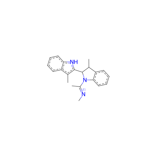 C/N=C(\C)N1c2ccccc2C(C)C1c1[nH]c2ccccc2c1C